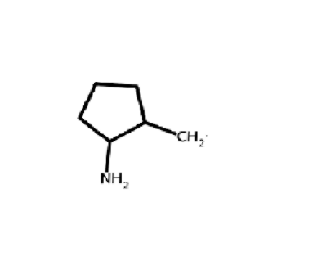 [CH2]C1CCCC1N